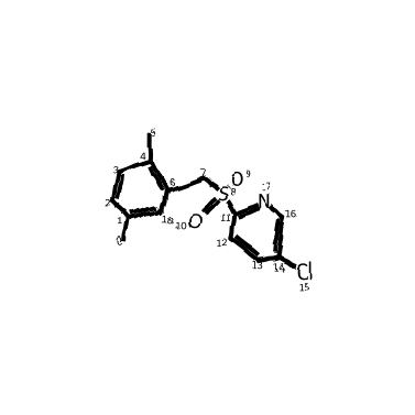 Cc1ccc(C)c(CS(=O)(=O)c2ccc(Cl)cn2)c1